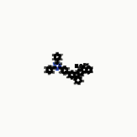 CC1(C)c2ccccc2-c2cc3c(cc21)-c1cc(-c2ccc(-c4nc(-c5ccccc5)nc(-c5ccccc5)n4)cc2)ccc1C31CCCCC1